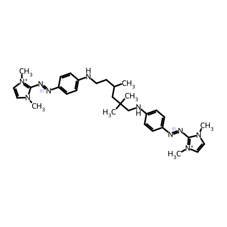 CC(CCNc1ccc(/N=N/c2n(C)cc[n+]2C)cc1)CC(C)(C)CNc1ccc(/N=N/c2n(C)cc[n+]2C)cc1